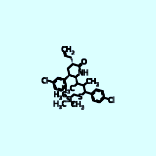 C=CC[C@H]1C[C@H](c2cccc(Cl)c2)[C@H](C(C)C(C)C(SC[Si](C)(C)C)c2ccc(Cl)cc2)NC1=O